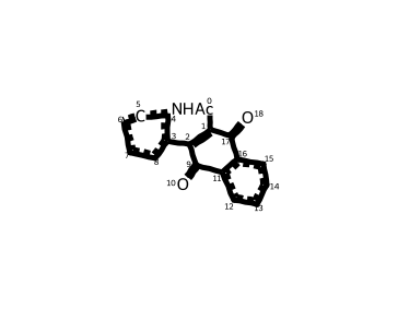 CC(=O)NC1=C(c2ccccc2)C(=O)c2ccccc2C1=O